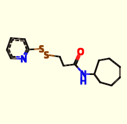 O=C(CCSSc1ccccn1)NC1CCCCCC1